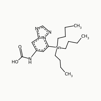 CCC[CH2][Sn]([CH2]CCC)([CH2]CCC)[c]1cc(NC(=O)O)cc2ncnn12